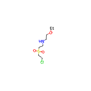 CCOCCNCCS(=O)(=O)CCCl